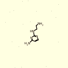 NCCNc1nccc(N)n1